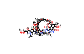 C=C(O)c1cn(C2CC2)c2c(OC)c(N3CCC(C4(N5CCN(/N=C/c6c7c(O)c8c(O)c(C)c9c(c8c6O)C(=O)[C@@](C)(O/C=C/[C@H](OC)[C@@H](C)[C@@H](OC(C)=O)[C@H](C)[C@H](O)[C@H](C)[C@@H](O)[C@@H](C)/C=C/C=C(/C)C(=O)N7)O9)CC5)CC4)C3)c(F)cc2c1=O